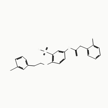 NS(=O)(=O)c1cc(NC(=O)Cc2ccccc2Cl)ccc1OCCc1cccc(Cl)c1